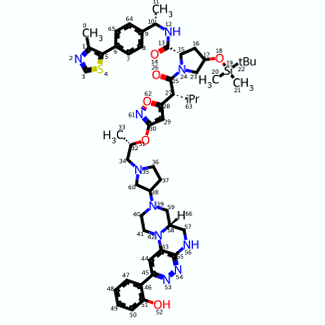 Cc1ncsc1-c1ccc([C@H](C)NC(=O)[C@@H]2CC(O[Si](C)(C)C(C)(C)C)CN2C(=O)[C@@H](c2cc(O[C@@H](C)CN3CCC(N4CCN5c6cc(-c7ccccc7O)nnc6NC[C@H]5C4)C3)no2)C(C)C)cc1